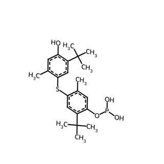 Cc1cc(O)c(C(C)(C)C)cc1Sc1cc(C(C)(C)C)c(OP(O)O)cc1C